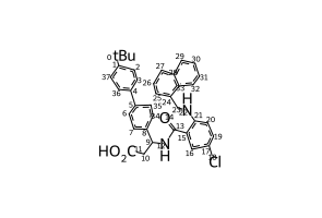 CC(C)(C)c1ccc(-c2ccc(C(CC(=O)O)NC(=O)c3cc(Cl)ccc3NCc3cccc4ccccc34)cc2)cc1